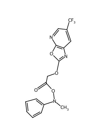 CN(OC(=O)COc1nc2cc(C(F)(F)F)cnc2o1)c1ccccc1